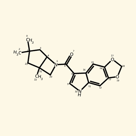 CC1(C)CC2N(C(=O)c3c[nH]c4cc5c(cc34)OCO5)CC2(C)C1